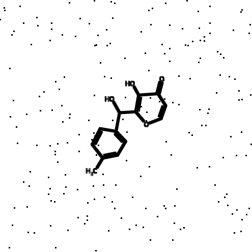 Cc1ccc(C(O)c2occc(=O)c2O)cc1